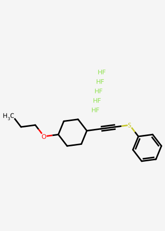 CCCOC1CCC(C#CSc2ccccc2)CC1.F.F.F.F.F